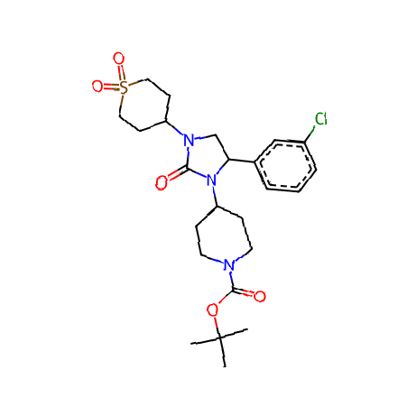 CC(C)(C)OC(=O)N1CCC(N2C(=O)N(C3CCS(=O)(=O)CC3)CC2c2cccc(Cl)c2)CC1